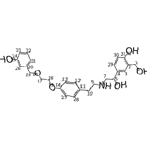 OCc1cc(C(O)CNCCc2ccc(OCCOCc3cccc(O)c3)cc2)ccc1O